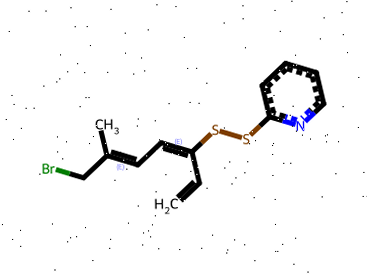 C=C/C(=C\C=C(/C)CBr)SSc1ccccn1